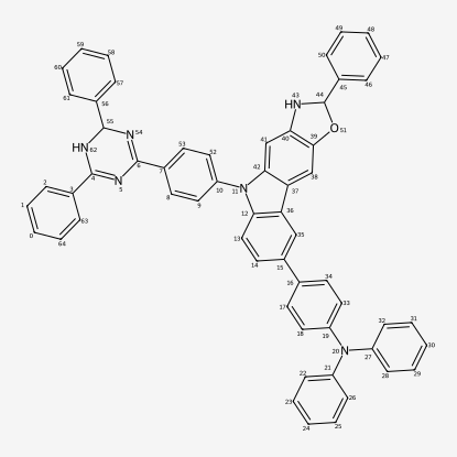 c1ccc(C2=NC(c3ccc(-n4c5ccc(-c6ccc(N(c7ccccc7)c7ccccc7)cc6)cc5c5cc6c(cc54)NC(c4ccccc4)O6)cc3)=NC(c3ccccc3)N2)cc1